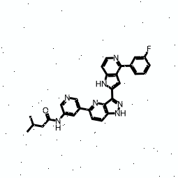 CC(C)CC(=O)Nc1cncc(-c2ccc3[nH]nc(-c4cc5c(-c6cccc(F)c6)nccc5[nH]4)c3n2)c1